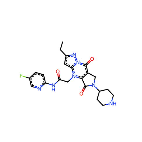 CCc1cc2n(CC(=O)Nc3ccc(F)cn3)c3c(c(=O)n2n1)CN(C1CCNCC1)C3=O